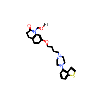 CCOCN1C(=O)CCc2ccc(OCCCCN3CCN(c4cccc5sccc45)CC3)cc21